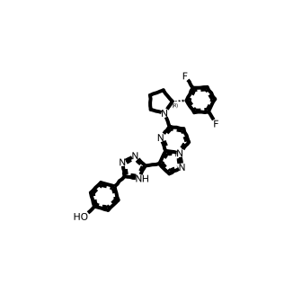 Oc1ccc(-c2nnc(-c3cnn4ccc(N5CCC[C@@H]5c5cc(F)ccc5F)nc34)[nH]2)cc1